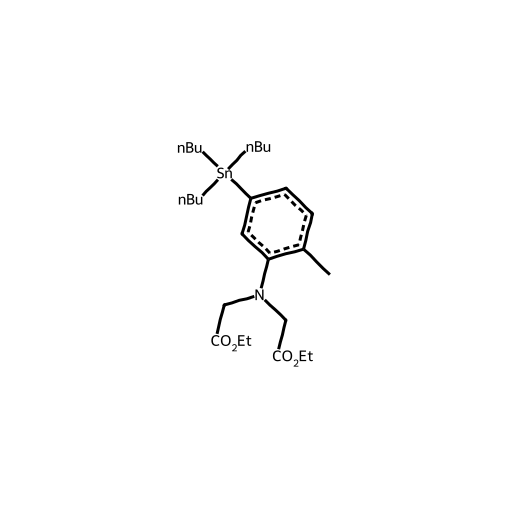 CCC[CH2][Sn]([CH2]CCC)([CH2]CCC)[c]1ccc(C)c(N(CC(=O)OCC)CC(=O)OCC)c1